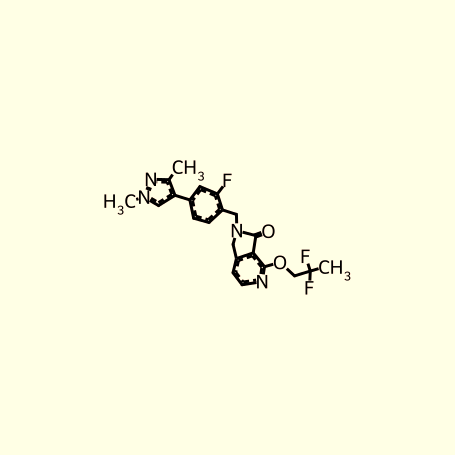 Cc1nn(C)cc1-c1ccc(CN2Cc3ccnc(OCC(C)(F)F)c3C2=O)c(F)c1